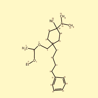 CCOC(C)OCC1(CCCCc2ccccc2)CCC(C#N)(N(C)C)CC1